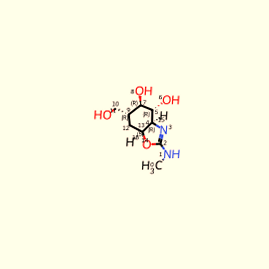 CNC1=N[C@@H]2[C@@H](O)[C@H](O)[C@@H](CO)C[C@@H]2O1